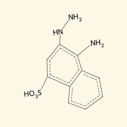 NNc1cc(S(=O)(=O)O)c2ccccc2c1N